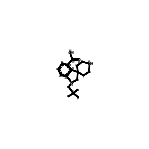 CC(C)(C)CN1CC2(CCNCC2)c2c(C(=O)O)cccc21